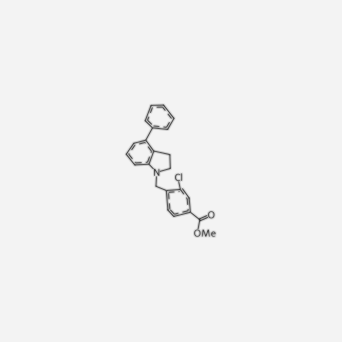 COC(=O)c1ccc(CN2CCc3c(-c4ccccc4)cccc32)c(Cl)c1